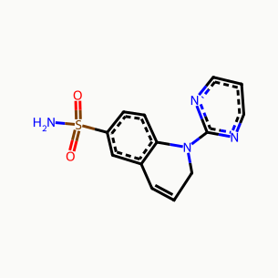 NS(=O)(=O)c1ccc2c(c1)C=CCN2c1ncccn1